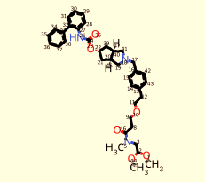 COC(CN(C)C(=O)CCOCCc1ccc(CN2C[C@H]3C[C@H](OC(=O)Nc4ccccc4-c4ccccc4)C[C@H]3C2)cc1)OC